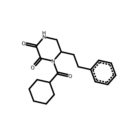 O=C1NCC(CCc2ccccc2)N(C(=O)C2CCCCC2)C1=O